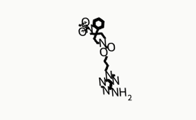 CS(=O)(=O)N1CC2(CCN(C(=O)OCCCCn3cnc4c(N)ncnc43)CC2)c2ccccc21